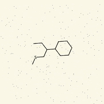 CCC(CSC)C1CCCCC1